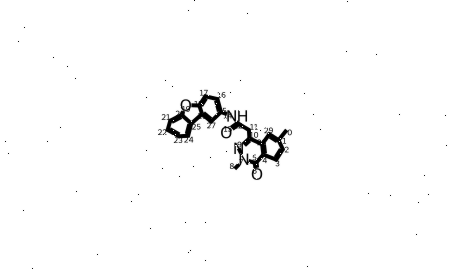 Cc1ccc2c(=O)n(C)nc(CC(=O)Nc3ccc4oc5ccccc5c4c3)c2c1